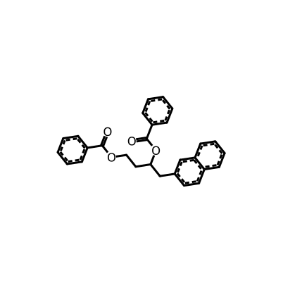 O=C(OCCC(Cc1ccc2ccccc2c1)OC(=O)c1ccccc1)c1ccccc1